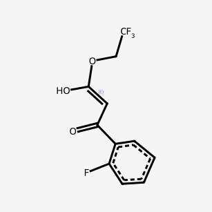 O=C(/C=C(\O)OCC(F)(F)F)c1ccccc1F